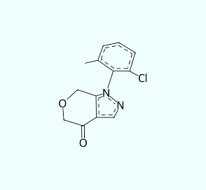 Cc1cccc(Cl)c1-n1ncc2c1COCC2=O